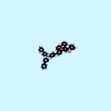 c1ccc(-c2ccc(N(c3ccc(-c4ccccc4)cc3)c3ccc(-c4ccc5c(c4)oc4c(-c6ccccc6-c6ccccc6)c6c(cc45)oc4ccccc46)cc3)cc2)cc1